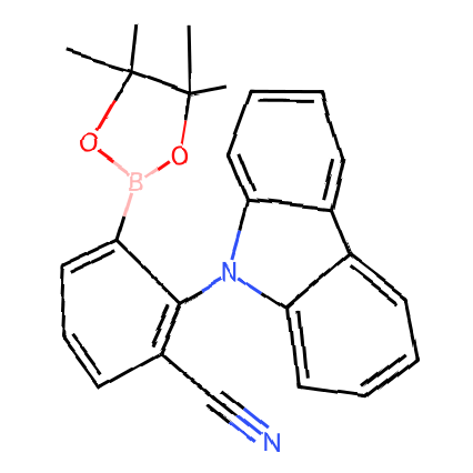 CC1(C)OB(c2cccc(C#N)c2-n2c3ccccc3c3ccccc32)OC1(C)C